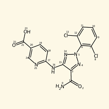 NC(=O)c1nn(-c2c(Cl)cccc2Cl)nc1Nc1ccc(C(=O)O)cn1